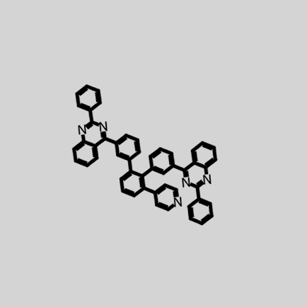 c1ccc(-c2nc(-c3cccc(-c4cccc(-c5ccncc5)c4-c4cccc(-c5nc(-c6ccccc6)nc6ccccc56)c4)c3)c3ccccc3n2)cc1